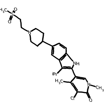 Cc1c(-c2[nH]c3ccc(C4CCN(CCS(C)(=O)=O)CC4)cc3c2C(C)C)cn(C)c(=O)c1Cl